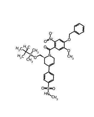 CNS(=O)(=O)c1ccc(C2=CCN(C(=O)c3cc(OC)c(OCc4ccccc4)cc3[N+](=O)[O-])[C@H](CO[Si](C)(C)C(C)(C)C)C2)cc1